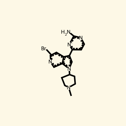 CN1CCC(n2cc(-c3ccnc(N)n3)c3cc(Br)ncc32)CC1